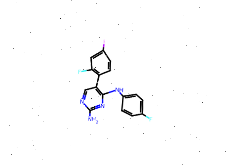 Nc1ncc(-c2ccc(I)cc2F)c(Nc2ccc(F)cc2)n1